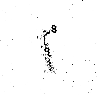 CC(CCCCC(=O)Nc1ccc(C[C@H](N)C(=O)NCC(=O)C(=O)NC(=O)OC(C)(C)C)cc1)NCC(O)COc1cccc2ccccc12